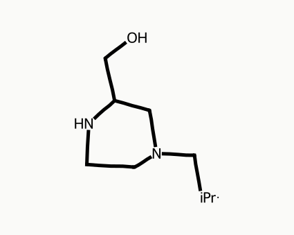 C[C](C)CN1CCNC(CO)C1